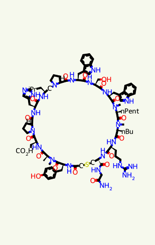 CCCCC[C@H]1C(=O)N(C)[C@@H](CCCC)C(=O)N[C@@H](CCCNC(=N)N)C(=O)N[C@H](C(=O)NCC(N)=O)CSCC(=O)N[C@@H](Cc2ccc(O)cc2)C(=O)N(C)[C@@H](C)C(=O)N[C@@H](CC(=O)O)C(=O)N2CCC[C@H]2C(=O)N[C@@H](Cc2cnc[nH]2)C(=O)N[C@@H](CC(C)C)CN2CCC[C@H]2C(=O)N[C@@H](Cc2c[nH]c3ccccc23)C(=O)N[C@@H](CO)C(=O)N[C@@H](Cc2c[nH]c3ccccc23)C(=O)N1C